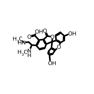 CNCC(NC)c1ccc2c(c1C(=O)O)C(=O)OC21c2ccc(O)cc2Oc2cc(O)ccc21